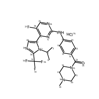 CC(C)n1c(-c2nc(Nc3ccc(C(=O)N4CCN(C)CC4)cc3)ncc2F)cnc1C(F)(F)F.Cl